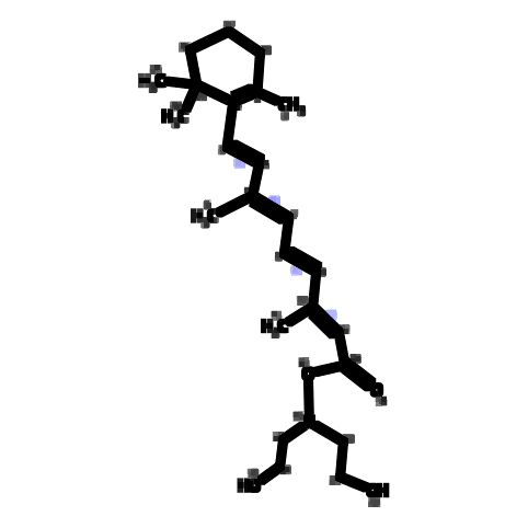 CC1=C(/C=C/C(C)=C/C=C/C(C)=C/C(=O)ON(CCO)CCO)C(C)(C)CCC1